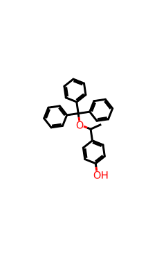 CC(OC(c1ccccc1)(c1ccccc1)c1ccccc1)c1ccc(O)cc1